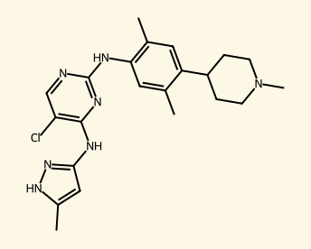 Cc1cc(Nc2nc(Nc3cc(C)c(C4CCN(C)CC4)cc3C)ncc2Cl)n[nH]1